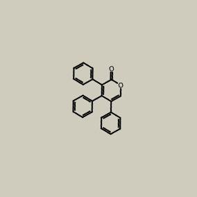 O=c1occ(-c2ccccc2)c(-c2ccccc2)c1-c1ccccc1